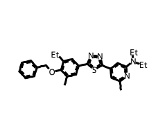 CCc1cc(-c2nnc(-c3cc(C)nc(N(CC)CC)c3)s2)cc(C)c1OCc1ccccc1